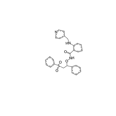 O=C(NOC(CS(=O)(=O)c1ccccc1)c1ccccc1)c1ccccc1NCc1ccncc1